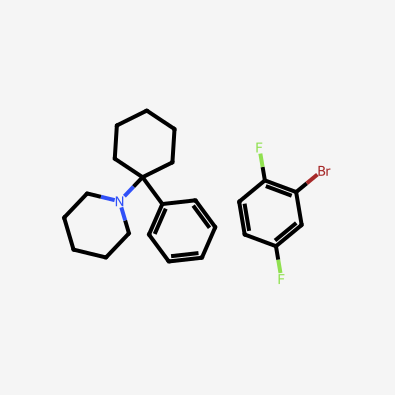 Fc1ccc(F)c(Br)c1.c1ccc(C2(N3CCCCC3)CCCCC2)cc1